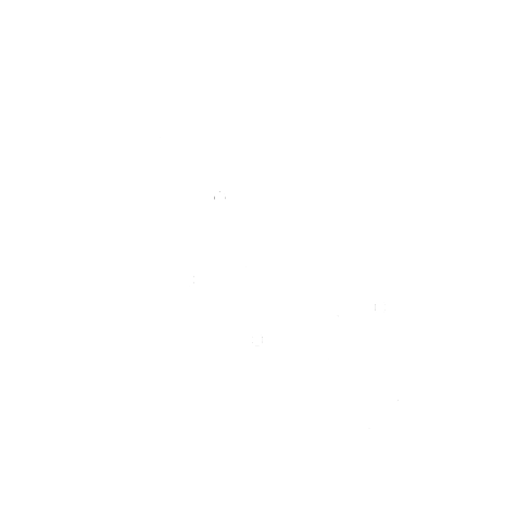 O=C(CC1CC1)c1ccc(OCc2ccccc2)c(C(F)(F)F)c1OCc1ccccc1